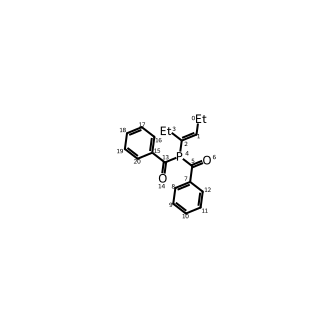 CCC=C(CC)P(C(=O)c1ccccc1)C(=O)c1ccccc1